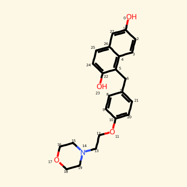 Oc1ccc2c(Cc3ccc(OCCN4CCOCC4)cc3)c(O)ccc2c1